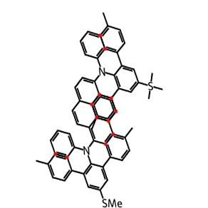 CSc1cc(-c2ccc(C)cc2)c(N(c2ccccc2)c2ccc3ccc4c(N(c5ccccc5)c5c(-c6ccc(C)cc6)cc(S(C)(C)C)cc5-c5ccc(C)cc5)ccc5ccc2c3c54)c(-c2ccc(C)cc2)c1